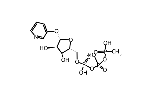 CP(=O)(O)OP(=O)(O)OP(=O)(O)OC[C@H]1O[C@@H](Oc2cccnc2)[C@H](O)[C@@H]1O